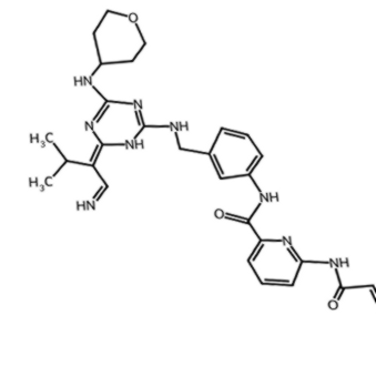 C=CC(=O)Nc1cccc(C(=O)Nc2cccc(CNC3=NC(NC4CCOCC4)=N/C(=C(/C=N)C(C)C)N3)c2)n1